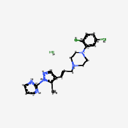 Cc1c(C=CCN2CCN(c3cc(Cl)ccc3Cl)CC2)cnn1-c1ncccn1.Cl